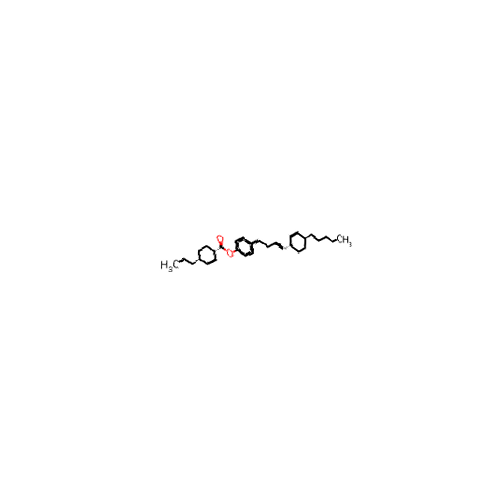 CCCCC[C@H]1CC[C@H](/C=C/CCc2ccc(OC(=O)[C@H]3CC[C@H](CCC)CC3)cc2)CC1